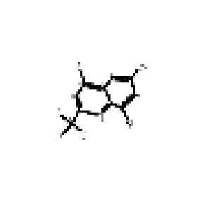 Clc1cc(Cl)c2nc(C(Cl)(Cl)Cl)cc(Cl)c2c1